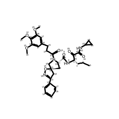 CCC[C@H](NC(=O)[C@@H]1C[C@]2(CC(c3ccccc3)=NO2)CN1C(=O)CCc1cc(OC)c(OC)c(OC)c1)C(=O)C(=O)NC1CC1